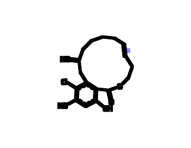 N=C1CCCC/C=C/CCOC(=O)c2c(O)cc(O)c(Cl)c2C1